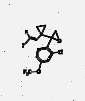 FC(F)=CC1(C2(c3ccc(OC(F)(F)F)cc3Cl)CO2)CC1